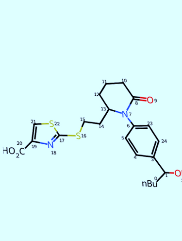 CCCCC(O)c1ccc(N2C(=O)CCCC2CCSc2nc(C(=O)O)cs2)cc1